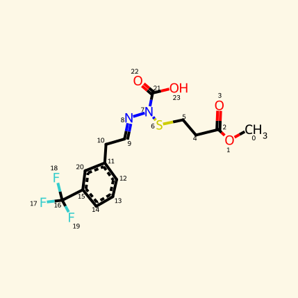 COC(=O)CCSN(N=CCc1cccc(C(F)(F)F)c1)C(=O)O